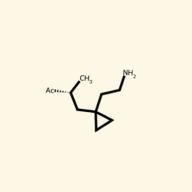 CC(=O)[C@H](C)CC1(CCN)CC1